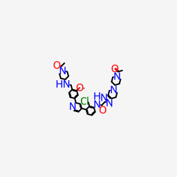 COc1cc(-c2nccc(-c3cccc(NC(=O)c4nc5c(n4C)CCN(C4CCN(C(C)=O)CC4)C5)c3C)c2Cl)ccc1CNC1CCN(C(C)=O)CC1